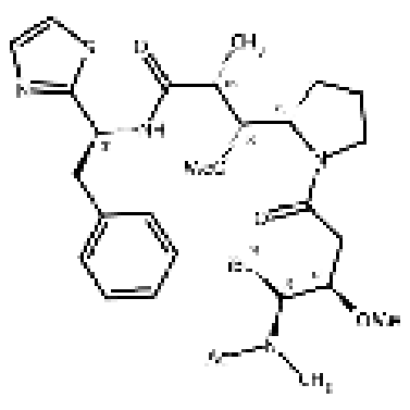 CC[C@H](C)[C@@H]([C@@H](CC(=O)N1CCC[C@H]1[C@H](OC)[C@@H](C)C(=O)N[C@@H](Cc1ccccc1)c1nccs1)OC)N(C)C(C)=O